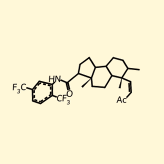 CC(=O)/C=C\[C@@]1(C)C(C)CCC2C1CC[C@]1(C)C(C(=O)Nc3cc(C(F)(F)F)ccc3C(F)(F)F)CCC21